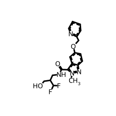 Cn1nc2ccc(OCc3ccccn3)cc2c1C(=O)NCC(CO)C(F)F